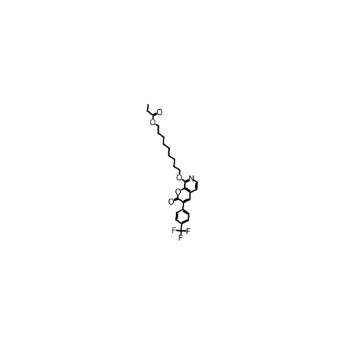 CCC(=O)OCCCCCCCCCOc1nccc2cc(-c3ccc(C(F)(F)F)cc3)c(=O)oc12